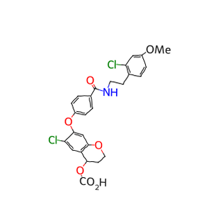 COc1ccc(CCNC(=O)c2ccc(Oc3cc4c(cc3Cl)C(OC(=O)O)CCO4)cc2)c(Cl)c1